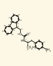 Bc1ccc(C[C@H](NC(=O)OCC2c3ccccc3-c3ccccc32)C(=O)O)cc1